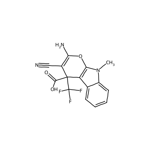 Cn1c2c(c3ccccc31)C(C(=O)O)(C(F)(F)F)C(C#N)=C(N)O2